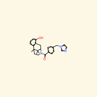 CC12CCN(C(=O)c3ccc(Cn4ccnc4)cc3)C(Cc3c(O)cccc31)C2(C)C